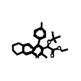 CCOC(=O)C(OC(C)(C)C)c1c(C)nc2cc3c(cc2c1-c1ccc(C)cc1)CCCC3